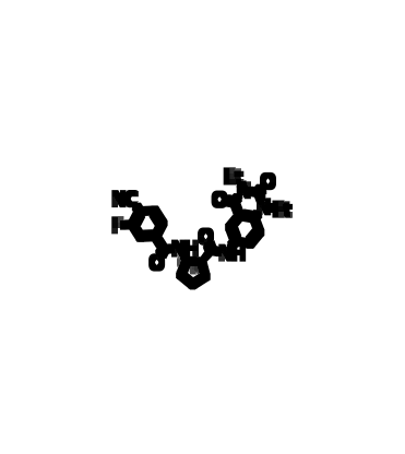 CCn1c(=O)c2cc(NC(=O)[C@H]3CCC[C@H]3NC(=O)c3ccc(C#N)c(F)c3)ccc2n(CC)c1=O